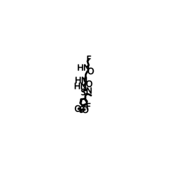 Cc1nc(NC(=O)NCCC(=O)NCCF)sc1-c1ccc(S(C)(=O)=O)c(F)c1